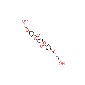 O=C(Oc1ccc(OC(=O)c2ccc(OCCCCCCO)cc2)cc1)c1ccc(OCCCCO)cc1